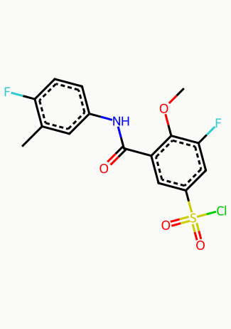 COc1c(F)cc(S(=O)(=O)Cl)cc1C(=O)Nc1ccc(F)c(C)c1